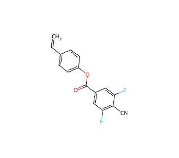 C=Cc1ccc(OC(=O)c2cc(F)c(C#N)c(F)c2)cc1